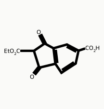 CCOC(=O)C1C(=O)c2ccc(C(=O)O)cc2C1=O